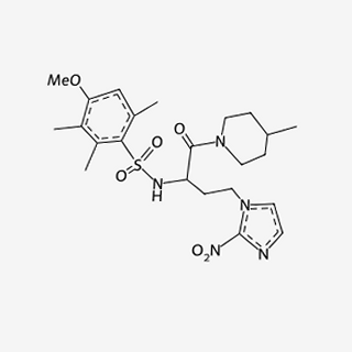 COc1cc(C)c(S(=O)(=O)NC(CCn2ccnc2[N+](=O)[O-])C(=O)N2CCC(C)CC2)c(C)c1C